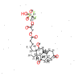 C[C@H](CCC(=O)OCC(=O)OCC(F)(F)S(=O)(=O)O)[C@H]1CC[C@H]2[C@@H]3C(=O)C[C@@H]4CC(=O)CC[C@]4(C)[C@H]3CC(=O)[C@]12C